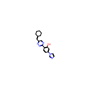 Oc1cc(-n2ccnc2)ccc1-c1ncc(C=C2CCCCC2)nn1